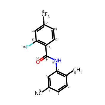 Cc1ccc(C#N)cc1NC(=O)c1ccc(C(F)(F)F)cc1F